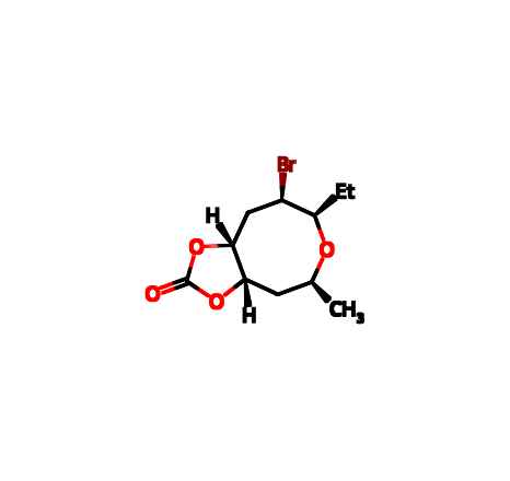 CC[C@H]1O[C@@H](C)C[C@@H]2OC(=O)O[C@@H]2C[C@H]1Br